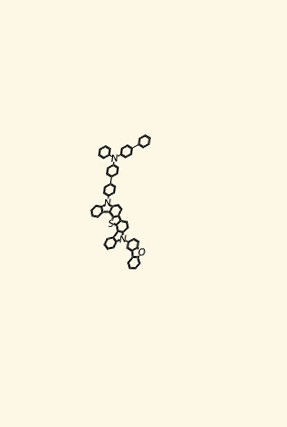 c1ccc(-c2ccc(N(c3ccccc3)c3ccc(-c4ccc(-n5c6ccccc6c6c7sc8c(ccc9c8c8ccccc8n9-c8ccc9oc%10ccccc%10c9c8)c7ccc65)cc4)cc3)cc2)cc1